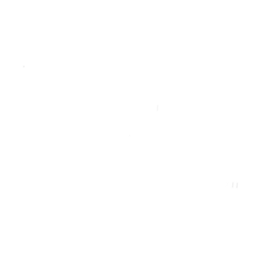 CCCCCC1CCC(C2CC=C(OCC)C(F)=C2F)CC1